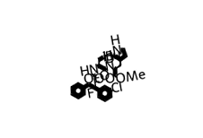 CCC(C)C[C@H](NC(=O)OC(c1ccccc1)C(F)(F)c1cccc(Cl)c1)C(=O)N[C@@H](C[C@@H]1CCNC1=O)C(=O)OC